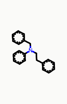 c1ccc(CCN(Cc2ccccc2)c2ccccc2)cc1